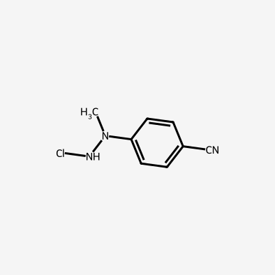 CN(NCl)c1ccc(C#N)cc1